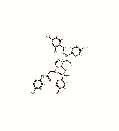 Cc1ccc(S(=O)(=O)OC2N(CCC(=O)Nc3ccc(Cl)cc3)C=CN2C(Cl)C(OCc2ccc(Cl)cc2Cl)c2ccc(Cl)cc2)cc1